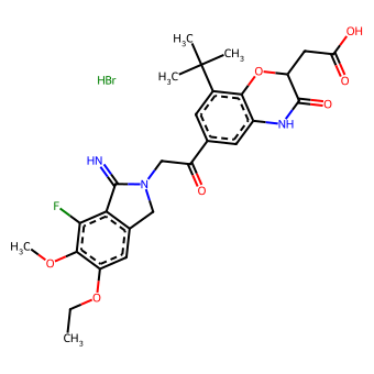 Br.CCOc1cc2c(c(F)c1OC)C(=N)N(CC(=O)c1cc3c(c(C(C)(C)C)c1)OC(CC(=O)O)C(=O)N3)C2